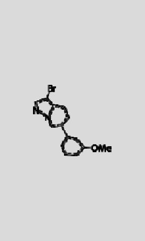 COc1cccc(-c2ccc3c(Br)cnn3c2)c1